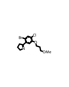 COCCCOc1cc(C2=NCCC2)c(Br)cc1Cl